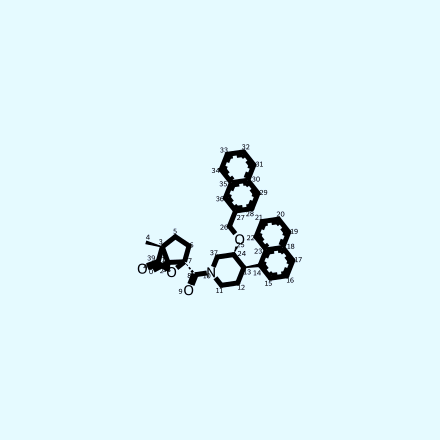 CC1(C)[C@@]2(C)CC[C@@]1(C(=O)N1CC[C@H](c3cccc4ccccc34)[C@@H](OCc3ccc4ccccc4c3)C1)OC2=O